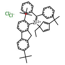 CC[C]1([Zr+2](=[C](c2ccccc2)c2ccccc2)[c]2c(C(C)(C)C)ccc3c2Cc2cc(C(C)(C)C)ccc2-3)C=CC(C(C)(C)C)=C1.[Cl-].[Cl-]